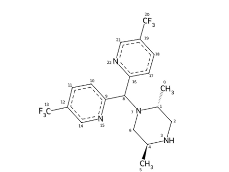 C[C@@H]1CN[C@@H](C)CN1C(c1ccc(C(F)(F)F)cn1)c1ccc(C(F)(F)F)cn1